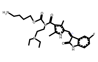 CCN(CC)CCN(C(=O)OCCCCN)C(=O)c1c(C)[nH]c(/C=C2\C(=O)Nc3ccc(F)cc32)c1C